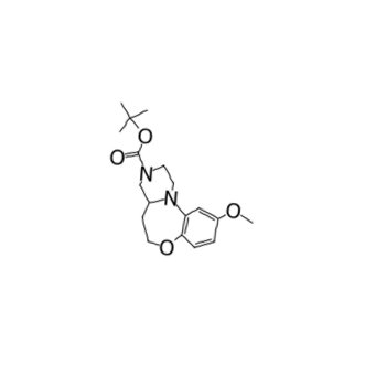 COc1ccc2c(c1)N1CCN(C(=O)OC(C)(C)C)CC1CCO2